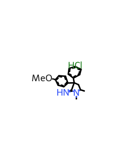 COc1ccc(C2(c3ccccc3)CC(C)N(C)C2=N)cc1.Cl